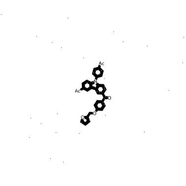 CC(=O)c1ccc(-n2c3ccc(C(C)=O)cc3c3cc(C(=O)c4ccc(OCc5ccco5)cc4)ccc32)cc1